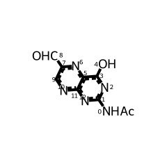 CC(=O)Nc1nc(O)c2nc(C=O)cnc2n1